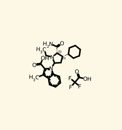 CCN1C(n2c(C(=O)O)c(C)c3ccccc32)C[C@@H](C2CCCCC2)[C@H]1C(N)=O.O=C(O)C(F)(F)F